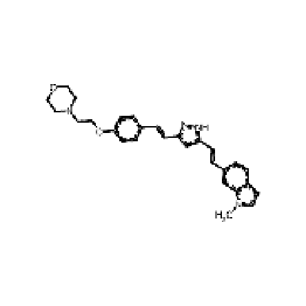 Cn1ccc2ccc(C=Cc3cc(C=Cc4ccc(OCCN5CCOCC5)cc4)n[nH]3)cc21